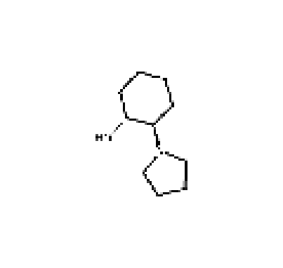 O[C@@H]1CCCC[C@H]1N1CCCC1